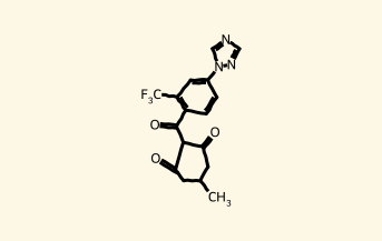 CC1CC(=O)C(C(=O)c2ccc(-n3cncn3)cc2C(F)(F)F)C(=O)C1